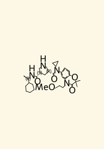 COCCCN1C(=O)C(C)(C)Oc2ccc(N(C(=O)[C@H]3CNC[C@@H](C(=O)N[C@H](C)C4CCCCC4)C3)C3CC3)cc21